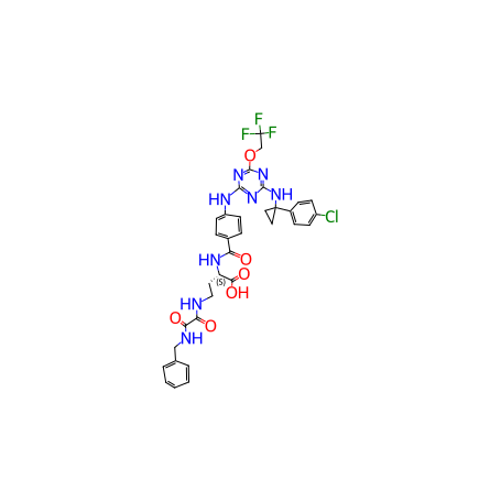 O=C(NCC[C@H](NC(=O)c1ccc(Nc2nc(NC3(c4ccc(Cl)cc4)CC3)nc(OCC(F)(F)F)n2)cc1)C(=O)O)C(=O)NCc1ccccc1